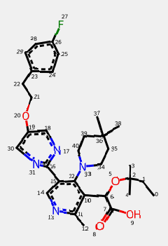 CCC(C)(C)OC(C(=O)O)c1c(C)ncc(-c2ncc(OCCc3ccc(F)cc3)cn2)c1N1CCC(C)(C)CC1